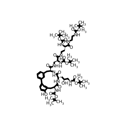 CC(C)(C)OC(=O)NCCNC(=O)[C@H](CCNC(=O)[C@H](CNC(=O)[C@@H]1Cc2cccc(c2)-c2ccc(O)c(c2)C[C@H](NC(=O)OC(C)(C)C)C(=O)N[C@@H](C[C@@H](O)CNC(=O)OC(C)(C)C)C(=O)N1)NC(=O)OC(C)(C)C)NC(=O)OC(C)(C)C